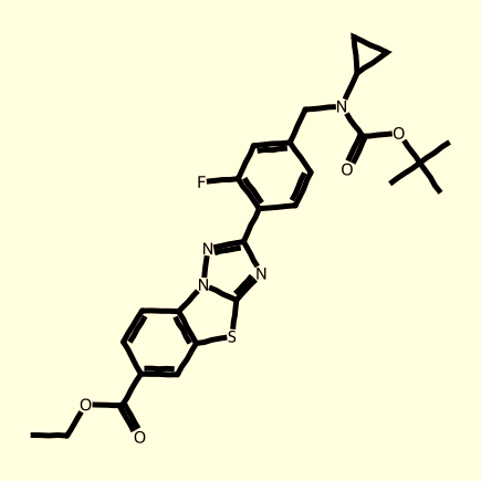 CCOC(=O)c1ccc2c(c1)sc1nc(-c3ccc(CN(C(=O)OC(C)(C)C)C4CC4)cc3F)nn12